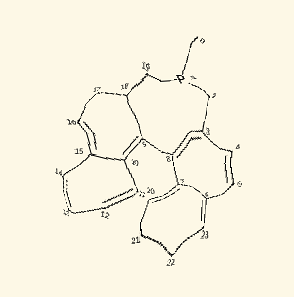 CP1Cc2ccc3c(c2C2=c4ccccc4=CCC2C1)=CCCC=3